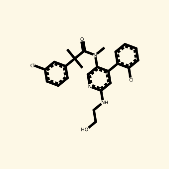 CN(C(=O)C(C)(C)c1cccc(Cl)c1)c1cnc(NCCO)cc1-c1ccccc1Cl